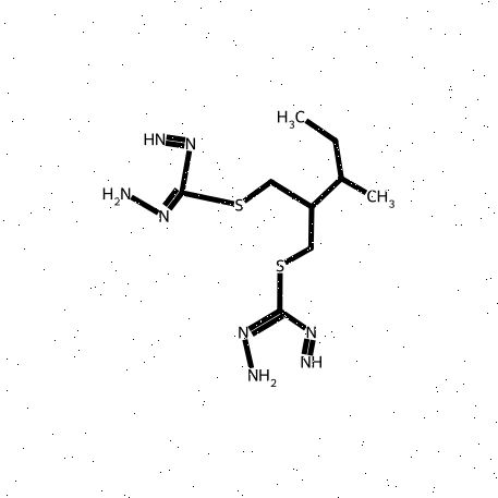 CCC(C)C(CSC(N=N)=NN)CSC(N=N)=NN